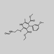 CCOC(=O)C1=C(SCCNC=O)NC(C)=C(C(=O)OC)C1c1cccc(OC)c1